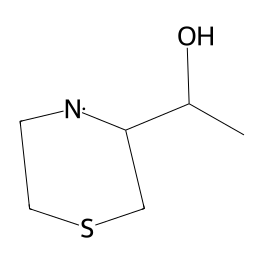 CC(O)C1CSCC[N]1